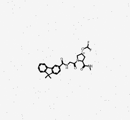 CNC(=O)C1C[C@@H](OC(F)F)CN1C(=O)CNC(=O)c1ccc2c(c1)-c1ccccc1C2(C)C